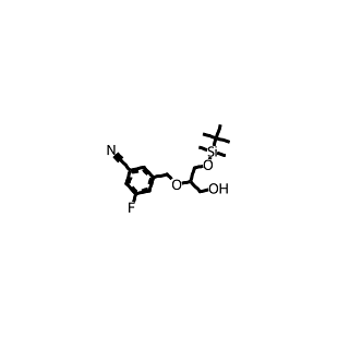 CC(C)(C)[Si](C)(C)OCC(CO)OCc1cc(F)cc(C#N)c1